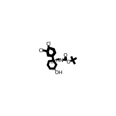 CC(C)(C)OC(=O)NC[C@]1(c2ccc(Cl)c(Cl)c2)CCC[C@@H](O)C1